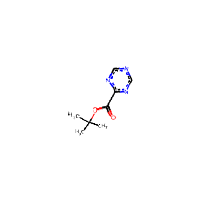 CC(C)(C)OC(=O)c1ncncn1